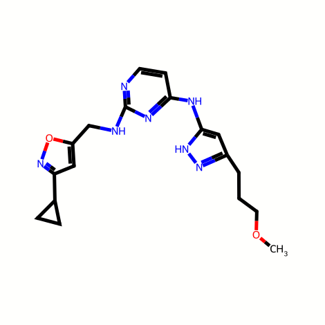 COCCCc1cc(Nc2ccnc(NCc3cc(C4CC4)no3)n2)[nH]n1